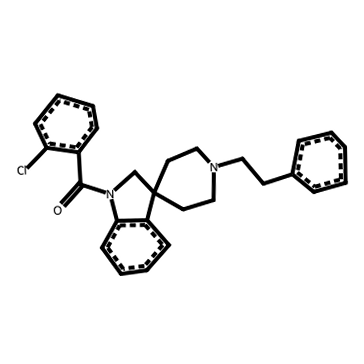 O=C(c1ccccc1Cl)N1CC2(CCN(CCc3ccccc3)CC2)c2ccccc21